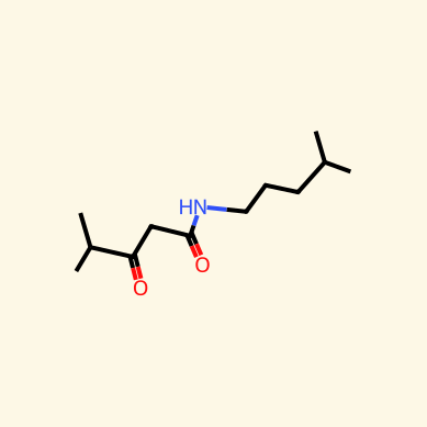 CC(C)CCCNC(=O)CC(=O)C(C)C